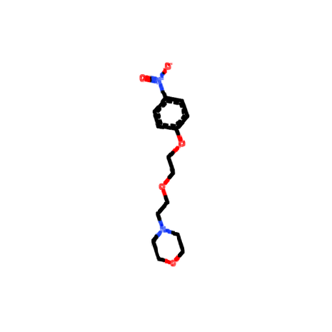 O=[N+]([O-])c1ccc(OCCOCCN2CCOCC2)cc1